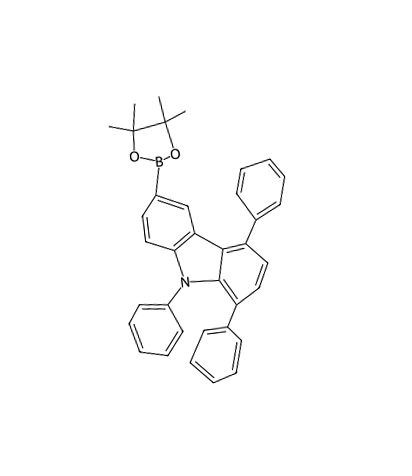 CC1(C)OB(c2ccc3c(c2)c2c(-c4ccccc4)ccc(-c4ccccc4)c2n3-c2ccccc2)OC1(C)C